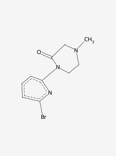 CN1CCN(c2cccc(Br)n2)C(=O)C1